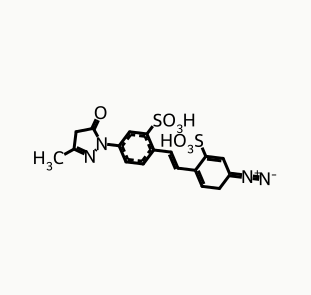 CC1=NN(c2ccc(C=CC3=CCC(=[N+]=[N-])C=C3S(=O)(=O)O)c(S(=O)(=O)O)c2)C(=O)C1